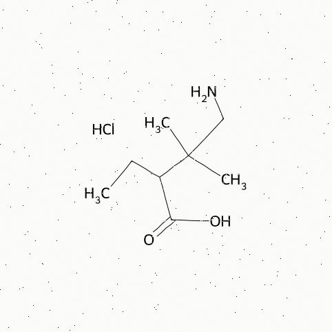 CCC(C(=O)O)C(C)(C)CN.Cl